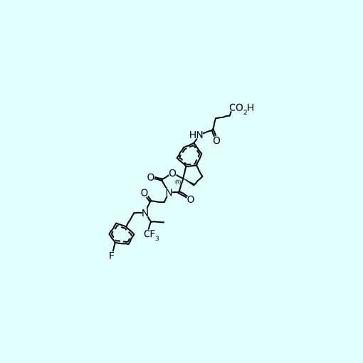 CC(N(Cc1ccc(F)cc1)C(=O)CN1C(=O)O[C@@]2(CCc3cc(NC(=O)CCC(=O)O)ccc32)C1=O)C(F)(F)F